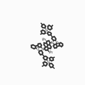 Cc1ccc([Si](c2ccc(C)cc2)(c2ccc(C)cc2)c2ccc(-c3cccc(N(c4cc(C(C)C)c5ccc6c(N(c7cccc(-c8ccc([Si](c9ccc(C)cc9)(c9ccc(C)cc9)c9ccc(C)cc9)cc8)c7)c7cccc8c7oc7ccccc78)cc(C(C)C)c7ccc4c5c76)c4cccc5c4oc4ccccc45)c3)cc2)cc1